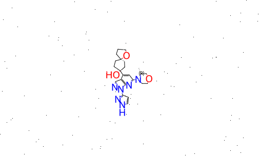 C[C@@H]1COCCN1c1cc([C@]2(O)CC[C@@]3(CCCO3)CC2)c2cnn(-c3cc[nH]n3)c2n1